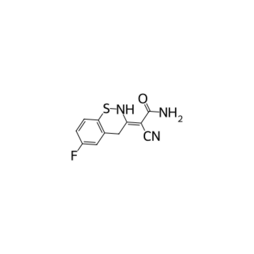 N#CC(C(N)=O)=C1Cc2cc(F)ccc2SN1